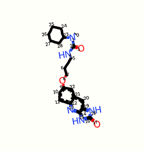 CN(C(=O)NCCCOc1ccc2nc3[nH]c(=O)[nH]c3cc2c1)C1CCCCC1